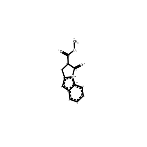 COC(=O)C1Cc2cc3ccccc3n2C1=O